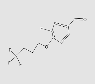 O=Cc1ccc(OCCCC(F)(F)F)c(F)c1